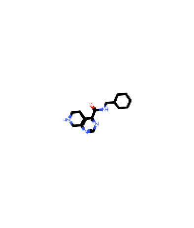 O=C(NCC1CCCCC1)c1ncnc2c1CCNC2